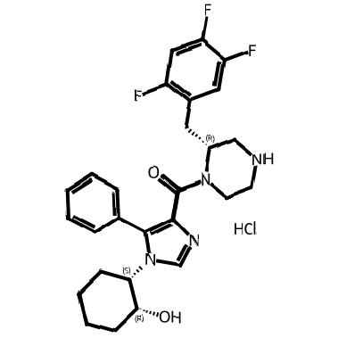 Cl.O=C(c1ncn([C@H]2CCCC[C@H]2O)c1-c1ccccc1)N1CCNC[C@H]1Cc1cc(F)c(F)cc1F